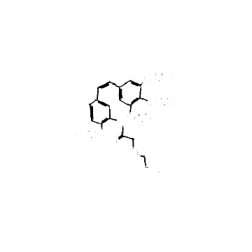 COc1ccc(/C=C\c2cc(OC)c(OC)c(OC)c2)cc1OC(=O)COCC(=O)O